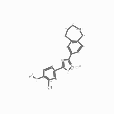 CC(C)Oc1ccc(-c2nc(-c3ccc4c(c3)CCCNC4)no2)cc1C#N.Cl